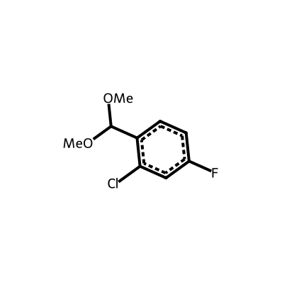 COC(OC)c1ccc(F)cc1Cl